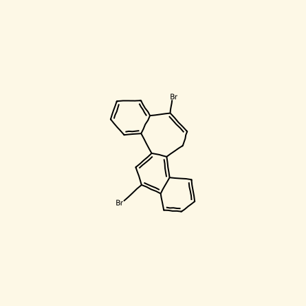 BrC1=CCc2c(cc(Br)c3ccccc23)-c2ccccc21